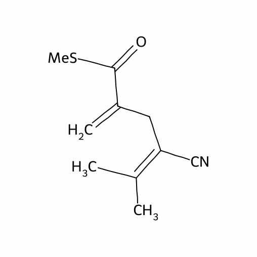 C=C(CC(C#N)=C(C)C)C(=O)SC